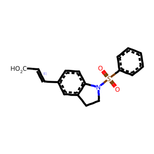 O=C(O)/C=C/c1ccc2c(c1)CCN2S(=O)(=O)c1ccccc1